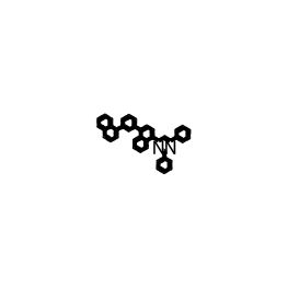 c1ccc(-c2cc(-c3ccc(-c4cccc(-c5cccc6ccccc56)c4)c4ccccc34)nc(-c3ccccc3)n2)cc1